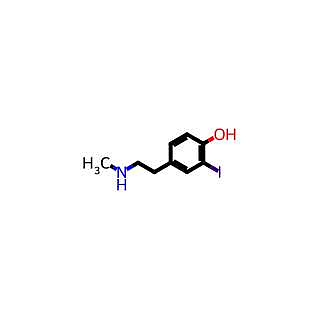 CNCCc1ccc(O)c(I)c1